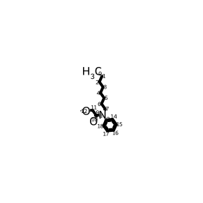 CCCCCCCCN(C(=O)C[O])c1ccccc1